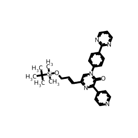 CC(C)(C)[Si](C)(C)OCC=Cc1cn(-c2ccc(-c3ncccn3)cc2)c(=O)c(-c2ccncc2)n1